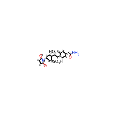 NC(=O)Cc1ccc(C=Cc2ccc(N3C(=O)C=CC3=O)cc2S(=O)(=O)O)c(S(=O)(=O)O)c1